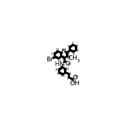 Cc1c(-c2ccccc2)nc2ccc(Br)cc2c1C(=O)Nc1cccc(CCC(=O)O)c1